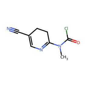 CN(C(=O)Cl)C1=NC=C(C#N)CC1